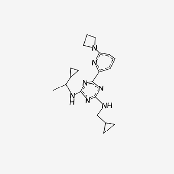 CC(Nc1nc(NCC2CC2)nc(-c2cccc(N3CCC3)n2)n1)C1CC1